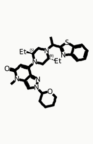 CC[C@H]1CN(C(C)c2nc3ccccc3s2)[C@H](CC)CN1c1cc(=O)n(C)c2cn(C3CCCCO3)nc12